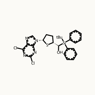 CC(C)(C)[Si](c1ccccc1)(c1ccccc1)C(O)[C@H]1CC[C@@H](n2cnc3c(Cl)nc(Cl)nc32)S1